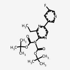 CCc1nc(-c2cncc(F)c2)cnc1N(C(=O)OC(C)(C)C)C(=O)OC(C)(C)C